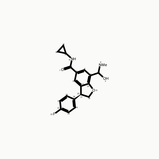 CNC(O)c1cc(C(=O)NC2CC2)cc2c1OC[C@H]2c1ccc(F)cc1